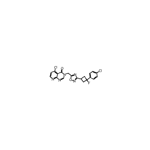 O=c1c2c(Cl)ccnc2ncn1Cc1nc(C2CC(F)(c3ccc(Cl)cc3)C2)no1